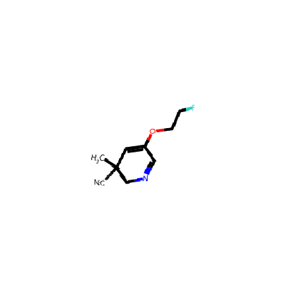 CC1(C#N)C=C(OCCF)C=NC1